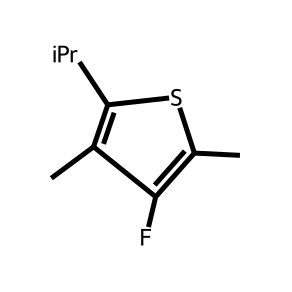 Cc1sc(C(C)C)c(C)c1F